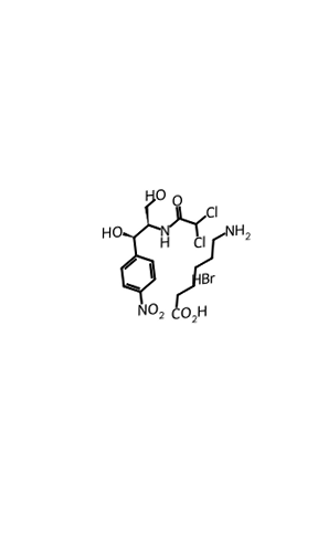 Br.NCCCCCC(=O)O.O=C(N[C@H](CO)[C@H](O)c1ccc([N+](=O)[O-])cc1)C(Cl)Cl